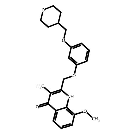 COc1cccc2c(=O)c(C)c(COc3cccc(OCC4CCOCC4)c3)[nH]c12